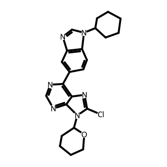 Clc1nc2c(-c3ccc4c(c3)ncn4C3CCCCC3)ncnc2n1C1CCCCO1